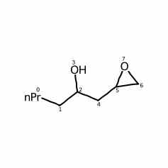 CCCCC(O)CC1CO1